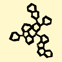 c1ccc(-c2cc(N(c3cccc4c3sc3ccc5ccccc5c34)c3cccc4c3c3ccccc3n4-c3ccccc3)ccc2-c2ccc3ccccc3c2)cc1